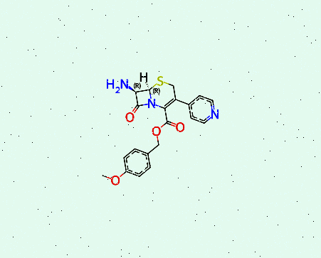 COc1ccc(COC(=O)C2=C(c3ccncc3)CS[C@@H]3[C@H](N)C(=O)N23)cc1